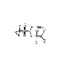 CC1(S(=O)(=O)N(CC#N)SC(Cl)(Cl)C(Cl)Cl)CC1